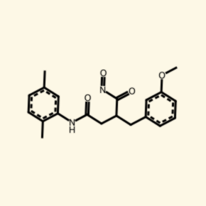 COc1cccc(CC(CC(=O)Nc2cc(C)ccc2C)C(=O)N=O)c1